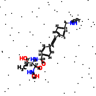 CCCNCc1ccc(C#Cc2ccc(C(=O)N[C@H](C(=O)NO)[C@@H](C)O)cc2)cc1